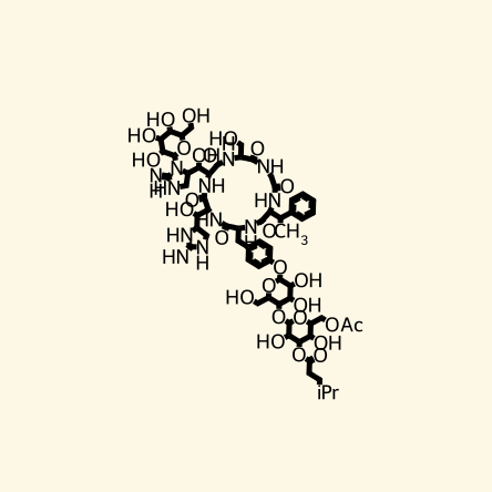 CC(=O)OCC1OC(OC2C(CO)OC(Oc3ccc(CC4NC(=O)C(C(C)c5ccccc5)NC(=O)CNC(=O)C(CO)NC(=O)C(C(O)C5CNC(=N)N5C5OC(CO)C(O)C(O)C5O)NC(=O)C(C(O)C5CNC(=N)N5)NC4=O)cc3)C(O)C2O)C(O)C(OC(=O)CCC(C)C)C1O